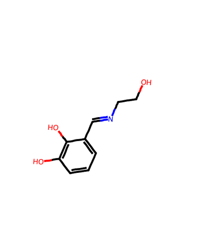 OCC/N=C/c1cccc(O)c1O